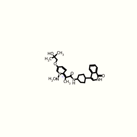 C=NN1C=C(OCC(C)(C)O)C=C/C1=C(/C)C(=O)NC1CCC(c2c[nH]c(=O)c3ccccc23)CC1